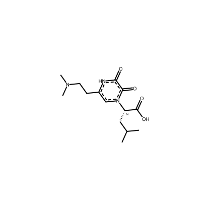 CC(C)C[C@@H](C(=O)O)n1cc(CCN(C)C)[nH]c(=O)c1=O